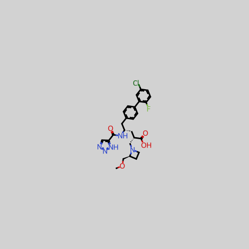 COC[C@@H]1CCN1C[C@H](C[C@@H](Cc1ccc(-c2cc(Cl)ccc2F)cc1)NC(=O)c1cnn[nH]1)C(=O)O